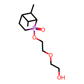 CC1C2CCP(=O)(OCCOCCO)C1C2C